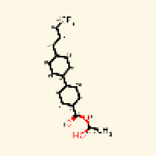 CC(O)OC(=O)C1CCC(C2CCC(CCCC(F)(F)F)CC2)CC1